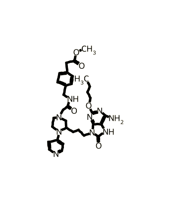 CCCCOc1nc(N)c2[nH]c(=O)n(CCCC3CN(CC(=O)NCc4ccc(CC(=O)OC)cc4)CCN3c3ccncc3)c2n1